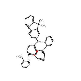 Cc1ccccc1-c1ccc(N(c2ccc3c(c2)C(C)(C)c2ccccc2-3)c2ccccc2-c2ccccc2)cc1